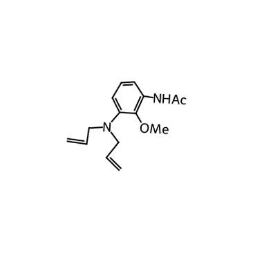 C=CCN(CC=C)c1cccc(NC(C)=O)c1OC